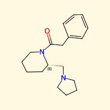 O=C(Cc1ccccc1)N1CCCC[C@H]1CN1CCCC1